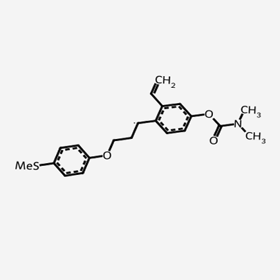 C=Cc1cc(OC(=O)N(C)C)ccc1[CH]CCOc1ccc(SC)cc1